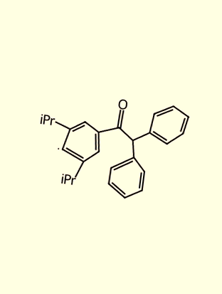 CC(C)c1[c]c(C(C)C)cc(C(=O)C(c2ccccc2)c2ccccc2)c1